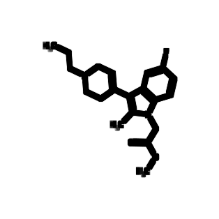 CCCN1CC=C(c2c(C)n(CC(=O)OC)c3ccc(F)cc23)CC1